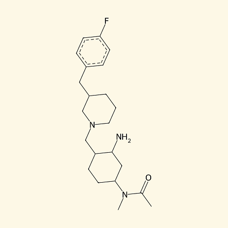 CC(=O)N(C)C1CCC(CN2CCCC(Cc3ccc(F)cc3)C2)C(N)C1